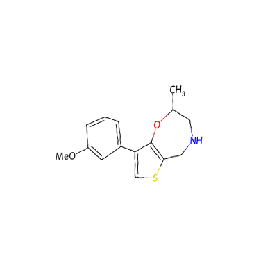 COc1cccc(-c2csc3c2OC(C)CNC3)c1